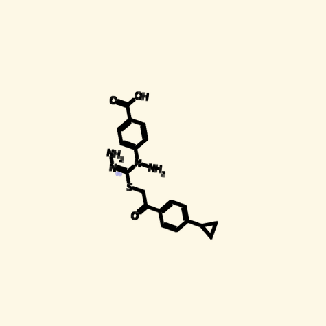 N/N=C(/SCC(=O)c1ccc(C2CC2)cc1)N(N)c1ccc(C(=O)O)cc1